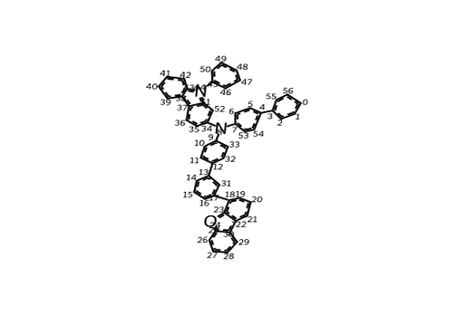 c1ccc(-c2ccc(N(c3ccc(-c4cccc(-c5cccc6c5oc5ccccc56)c4)cc3)c3ccc4c5ccccc5n(-c5ccccc5)c4c3)cc2)cc1